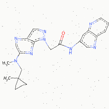 CN(CC1(C)CC1)c1cnc2cnn(CC(=O)Nc3cnc4cccnc4c3)c2n1